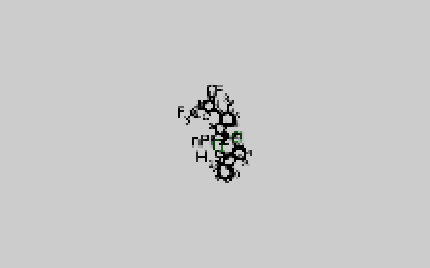 CCCC1=Cc2c(ccc(C)c2-c2cc(C(F)(F)F)cc(C(F)(F)F)c2)[CH]1[Zr]([Cl])([Cl])[c]1cccc2c1[SiH2]c1ccccc1-2